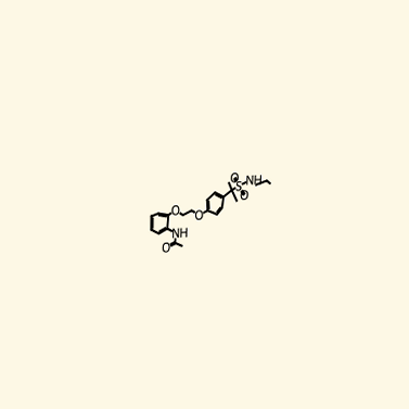 CCCNS(=O)(=O)C(C)(C)c1ccc(OCCOc2ccccc2NC(C)=O)cc1